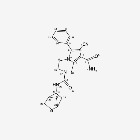 N#Cc1c(C(N)=O)c2n(c1-c1ccccc1)CCN(C(=O)N[C@@H]1CC3CCC1C3)C2